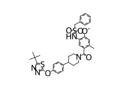 COc1cc(C)c(C(=O)N2CCC(c3ccc(Oc4nnc(C(C)(C)C)s4)cc3)CC2)cc1NS(=O)(=O)Cc1ccccc1